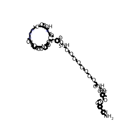 CO[C@H]1C[C@@H]2CC[C@@H](C)[C@@](O)(O2)C(=O)C(=O)N2CCCC[C@H]2C(=O)O[C@H]([C@H](C)C[C@@H]2CC[C@@H](OC(=S)NCCOCCOCCOCCOCCOCCOCCOCCOCCC(=O)NCCS(=O)(=O)c3ccc(C(=O)N4CCOc5ccc(-c6ccc(N)nc6)cc5C4)c(C)c3F)[C@H](OC)C2)C[C@@H](OC)[C@H](C)/C=C(\C)[C@@H](O)[C@@H](OC)C(=O)[C@H](C)C[C@H](C)/C=C/C=C/C=C/1C